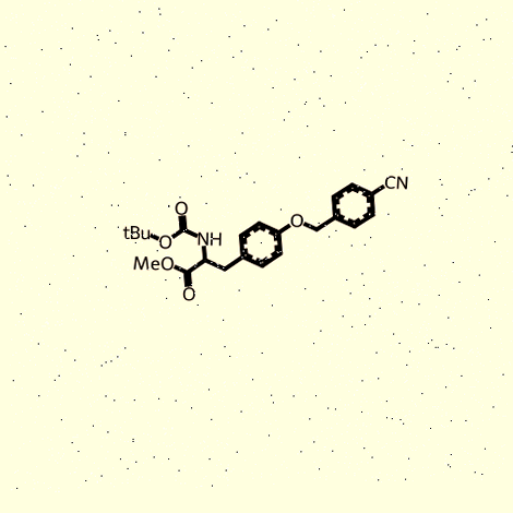 COC(=O)C(Cc1ccc(OCc2ccc(C#N)cc2)cc1)NC(=O)OC(C)(C)C